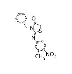 Cc1cc(/N=C2\SCC(=O)N2Cc2ccccc2)ccc1[N+](=O)[O-]